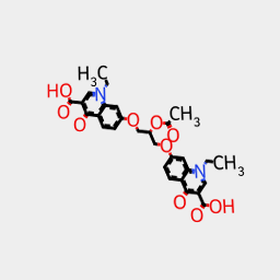 CCn1cc(C(=O)O)c(=O)c2ccc(OCC(COc3ccc4c(=O)c(C(=O)O)cn(CC)c4c3)OC(C)=O)cc21